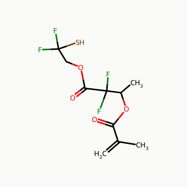 C=C(C)C(=O)OC(C)C(F)(F)C(=O)OCC(F)(F)S